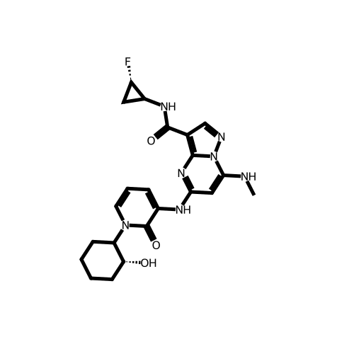 CNc1cc(Nc2cccn(C3CCCC[C@H]3O)c2=O)nc2c(C(=O)NC3C[C@@H]3F)cnn12